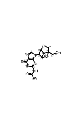 CC(C)C(=O)Nc1nc2c(ncn2C2COC3(CO)COC2C3O)c(=O)[nH]1